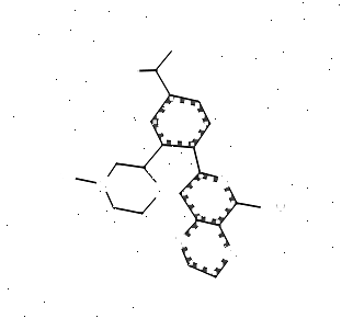 COc1nc(-c2ccc(C(O)C(C)(C)C)cc2C2CN(C(C)=O)CCO2)cc2nccnc12